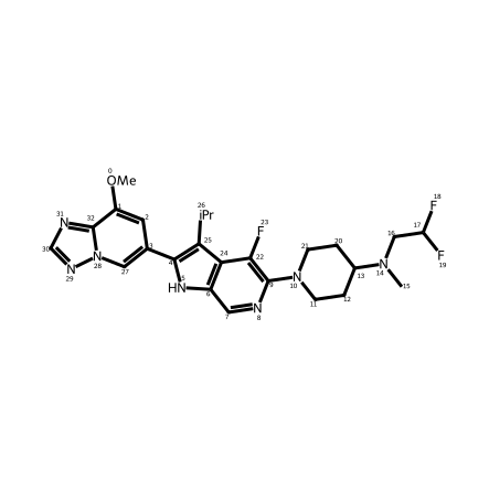 COc1cc(-c2[nH]c3cnc(N4CCC(N(C)CC(F)F)CC4)c(F)c3c2C(C)C)cn2ncnc12